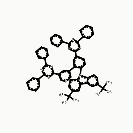 CC(C)(C)c1ccc2c(c1)c1cc(C(C)(C)C)ccc1n2-c1ccc(-c2nc(-c3ccccc3)nc(-c3ccccc3)n2)cc1-c1cncc(-c2nc(-c3ccccc3)nc(-c3ccccc3)n2)c1